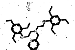 CCc1cc(CC)c(NCCN(CCNc2c(CC)cc(CC)cc2CC)Cc2ccccn2)c(CC)c1.[Cl-].[Cl-].[Fe+2]